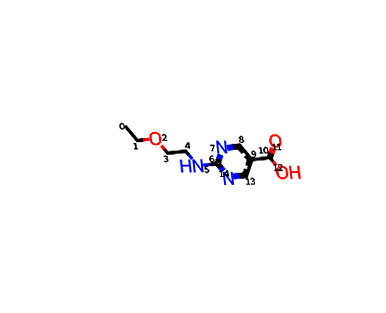 CCOCCNc1ncc(C(=O)O)cn1